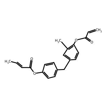 C=CC(=O)Oc1ccc(Cc2ccc(OC(=O)C=CC)cc2)cc1C